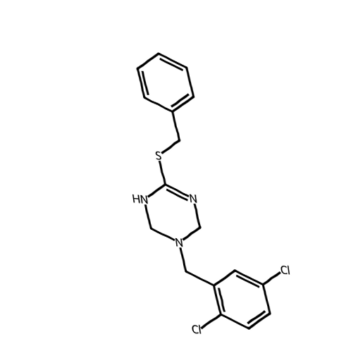 Clc1ccc(Cl)c(CN2CN=C(SCc3ccccc3)NC2)c1